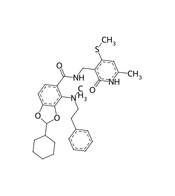 CSc1cc(C)[nH]c(=O)c1CNC(=O)c1ccc2c(c1N(C)CCc1ccccc1)OC(C1CCCCC1)O2